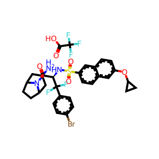 NC1CC2CCC(C1)N2C(=O)[C@@H](NS(=O)(=O)c1ccc2cc(OC3CC3)ccc2c1)C(F)(F)c1ccc(Br)cc1.O=C(O)C(F)(F)F